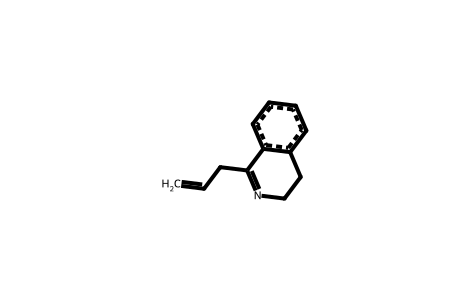 C=CCC1=NCCc2ccccc21